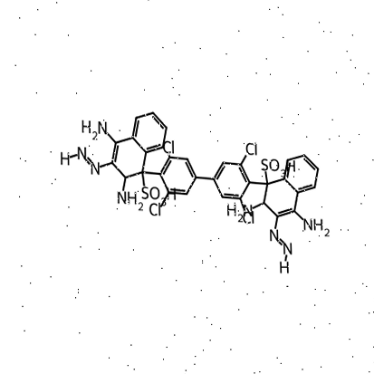 [H]/N=N/C1=C(N)c2ccccc2C(c2c(Cl)cc(-c3cc(Cl)c(C4(S(=O)(=O)O)c5ccccc5C(N)=C(/N=N/[H])C4N)c(Cl)c3)cc2Cl)(S(=O)(=O)O)C1N